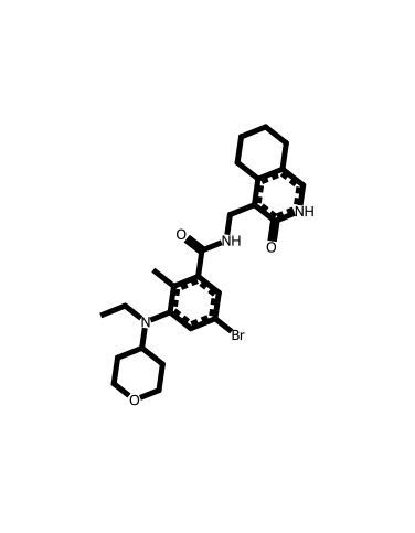 CCN(c1cc(Br)cc(C(=O)NCc2c3c(c[nH]c2=O)CCCC3)c1C)C1CCOCC1